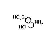 Cl.NC1CCCc2cc(C(=O)O)ccc21